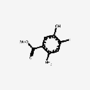 COC(=O)c1cc(O)c(I)cc1N